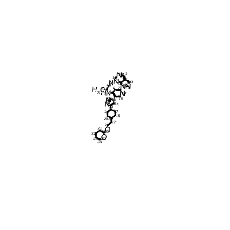 C[C@H](C#N)Nc1cc(-n2ncc3cncnc32)ncc1-n1cc(C2CCC(CCOC3CCCCO3)CC2)nn1